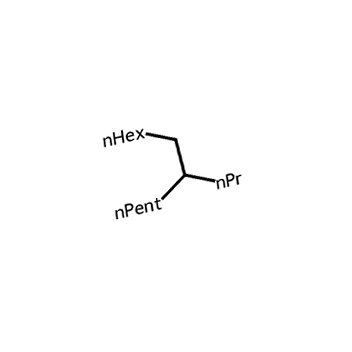 CCCCCCCC(CCC)CCCCC